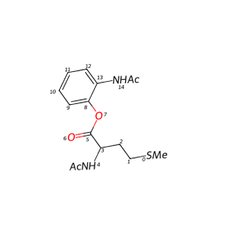 CSCCC(NC(C)=O)C(=O)Oc1ccccc1NC(C)=O